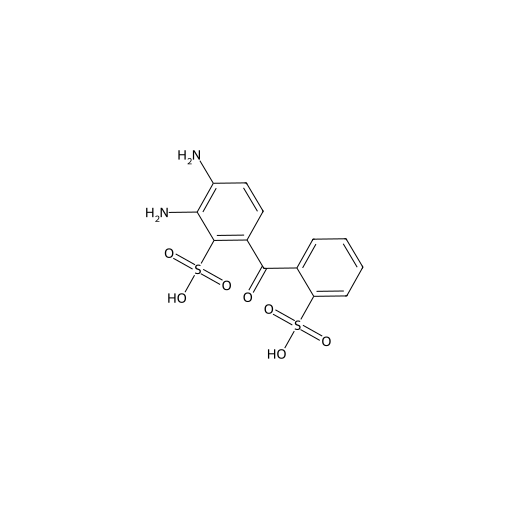 Nc1ccc(C(=O)c2ccccc2S(=O)(=O)O)c(S(=O)(=O)O)c1N